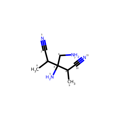 CC(C#N)C(N)(CN)C(C)C#N